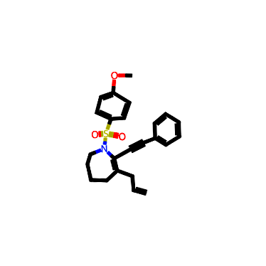 C=CCC1=C(C#Cc2ccccc2)N(S(=O)(=O)c2ccc(OC)cc2)CCCC1